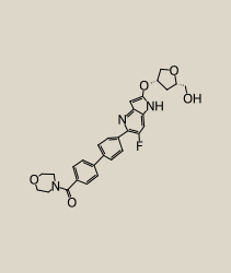 O=C(c1ccc(-c2ccc(-c3nc4cc(O[C@@H]5CO[C@H](CO)C5)[nH]c4cc3F)cc2)cc1)N1CCOCC1